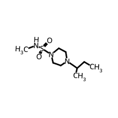 CCC(C)N1CCN(S(=O)(=O)NC)CC1